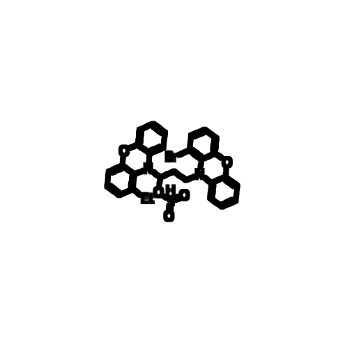 CCc1cccc2c1N(C(CCN1c3ccccc3Oc3cccc(Br)c31)O[SH](=O)=O)c1ccccc1O2